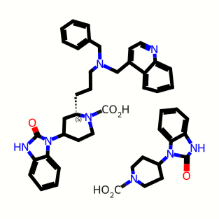 O=C(O)N1CCC(n2c(=O)[nH]c3ccccc32)CC1.O=C(O)N1CCC(n2c(=O)[nH]c3ccccc32)C[C@@H]1CCCN(Cc1ccccc1)Cc1ccnc2ccccc12